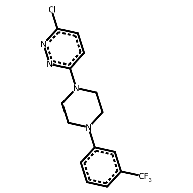 FC(F)(F)c1cccc(N2CCN(c3ccc(Cl)nn3)CC2)c1